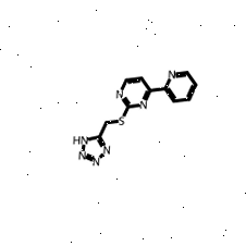 c1ccc(-c2ccnc(SCc3nnn[nH]3)n2)nc1